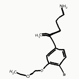 C=C(CCCN)c1ccc(Br)c(OCOC)c1